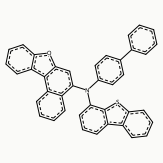 c1ccc(-c2ccc(N(c3cc4oc5ccccc5c4c4ccccc34)c3cccc4c3sc3ccccc34)cc2)cc1